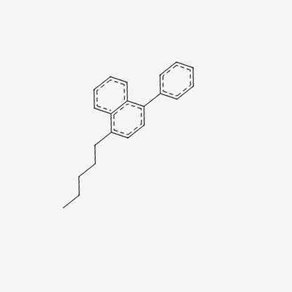 CCCCCc1ccc(-c2ccccc2)c2ccccc12